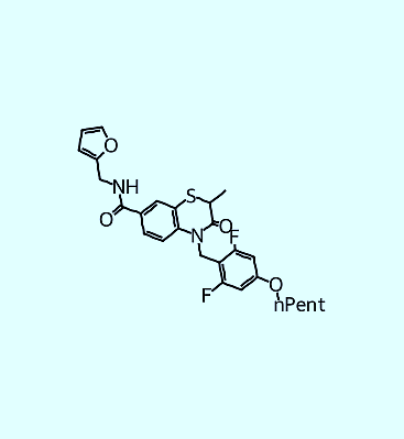 CCCCCOc1cc(F)c(CN2C(=O)C(C)Sc3cc(C(=O)NCc4ccco4)ccc32)c(F)c1